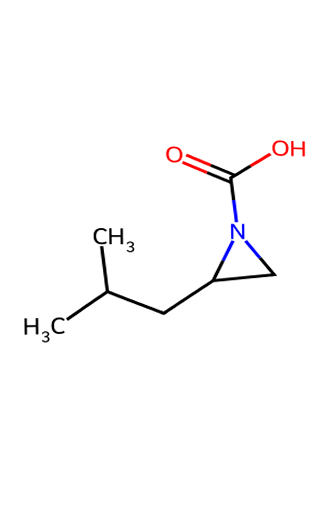 CC(C)CC1CN1C(=O)O